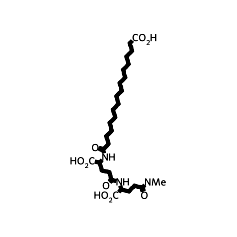 CNC(=O)CCC(NC(=O)CCC(NC(=O)CCCCCCCCCCCCCCCCC(=O)O)C(=O)O)C(=O)O